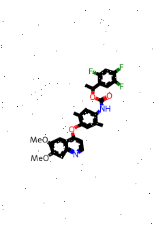 COc1cc2nccc(Oc3cc(C)c(NC(=O)OC(C)c4cc(F)c(F)cc4F)cc3C)c2cc1OC